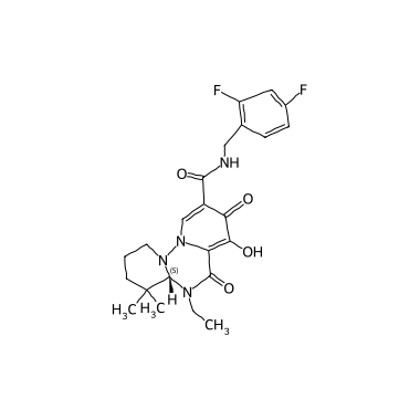 CCN1C(=O)c2c(O)c(=O)c(C(=O)NCc3ccc(F)cc3F)cn2N2CCCC(C)(C)[C@@H]12